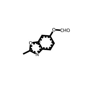 Cc1nc2ccc(OC=O)cc2o1